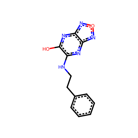 Oc1nc2nonc2nc1NCCc1ccccc1